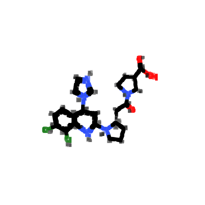 O=C(O)C1CCN(C(=O)C[C@@H]2CCCN2c2cc(-n3ccnc3)c3ccc(Cl)c(Cl)c3n2)C1